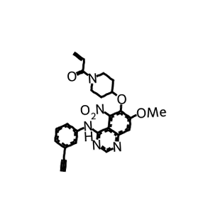 C#Cc1cccc(Nc2ncnc3cc(OC)c(OC4CCN(C(=O)C=C)CC4)c([N+](=O)[O-])c23)c1